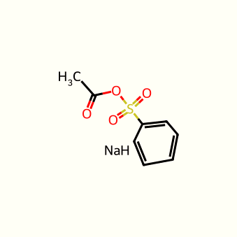 CC(=O)OS(=O)(=O)c1ccccc1.[NaH]